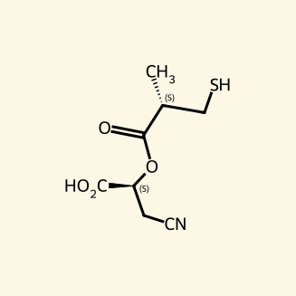 C[C@H](CS)C(=O)O[C@@H](CC#N)C(=O)O